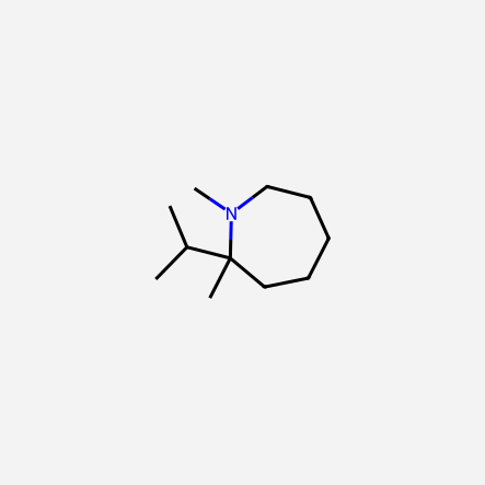 CC(C)C1(C)CCCCCN1C